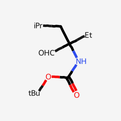 CCC(C=O)(CC(C)C)NC(=O)OC(C)(C)C